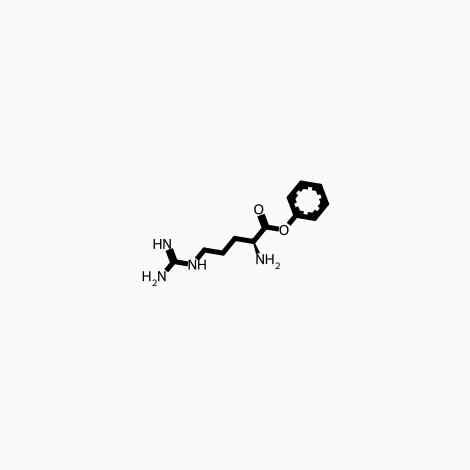 N=C(N)NCCC[C@H](N)C(=O)Oc1ccccc1